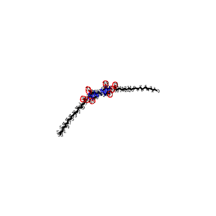 CCCCCCCCCCCCCCCCCC(=O)OCN1C(=O)CN(CCN2CC(=O)N(COC(=O)CCCCCCCCCCCCCCCCC)C(=O)C2)CC1=O